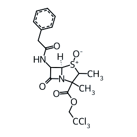 CC1[S+]([O-])[C@@H]2C(NC(=O)Cc3ccccc3)C(=O)N2C1(C)C(=O)OCC(Cl)(Cl)Cl